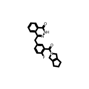 O=C(c1cc(Cc2n[nH]c(=O)c3ccccc23)ccc1F)N1CC2=C(CCC2)C1